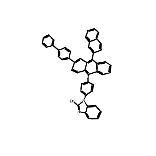 CCc1nc2ccccc2n1-c1ccc(-c2c3ccccc3c(-c3ccc4ccccc4c3)c3cc(-c4ccc(-c5ccccc5)cc4)ccc23)cc1